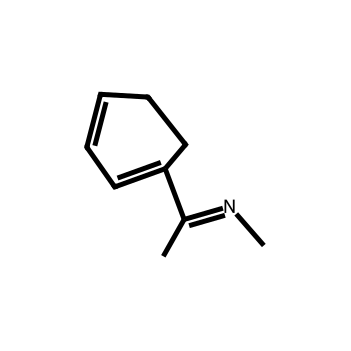 CN=C(C)C1=CC=CCC1